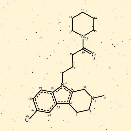 CN1CCc2c(n(CCCC(=O)N3CCCCC3)c3ccc(Cl)cc23)C1